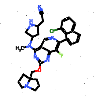 CN(c1nc(OCC23CCCN2CCC3)nc2c(F)c(-c3cccc4cccc(Cl)c34)ncc12)C1CNC(CC#N)C1